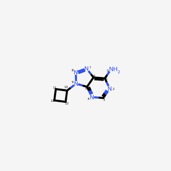 Nc1ncnc2c1nnn2C1CCC1